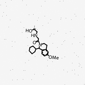 COc1ccc2c(c1)CCN(C(=O)CNC[C@@H](C)O)C2C1CCCCC1